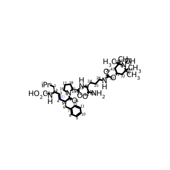 CC(C)C[C@@H](/C=C/[C@H](Cc1ccccc1)C(=O)N1CCC[C@H]1C(=O)N[C@@H](CCCNC(=O)OC1CC(C)(C)N(O)C(C)(C)C1)C(N)=O)NC(=O)O